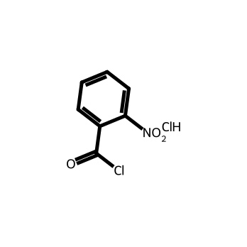 Cl.O=C(Cl)c1ccccc1[N+](=O)[O-]